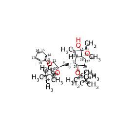 C=CC1(O)C(C)[C@@H]2[C@@H](C#C[C@H](COc3ccccc3)O[Si](C)(C)C(C)(C)C)[C@H](O[Si](C)(C)C(C)(C)C)CC[C@@]21OC